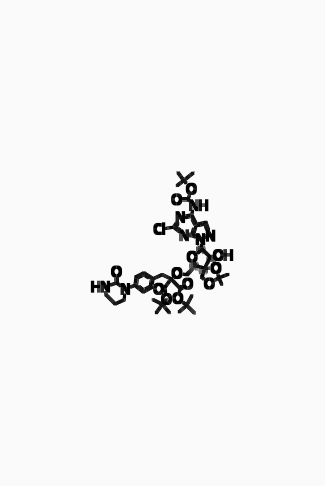 CC(C)(C)OC(=O)Nc1nc(Cl)nc2c1cnn2[C@@H]1O[C@H](COC(Cc2ccc(N3CCCNC3=O)cc2)(C(=O)OC(C)(C)C)C(=O)OC(C)(C)C)[C@]2(COC(C)(C)O2)[C@H]1O